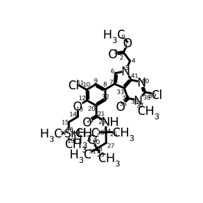 COC(=O)Cn1cc(-c2cc(Cl)c(OCC[Si](C)(C)C)c(C(=O)NC(C)(C)CC(C)(C)C)c2)c2c(=O)n(C)c(Cl)nc21